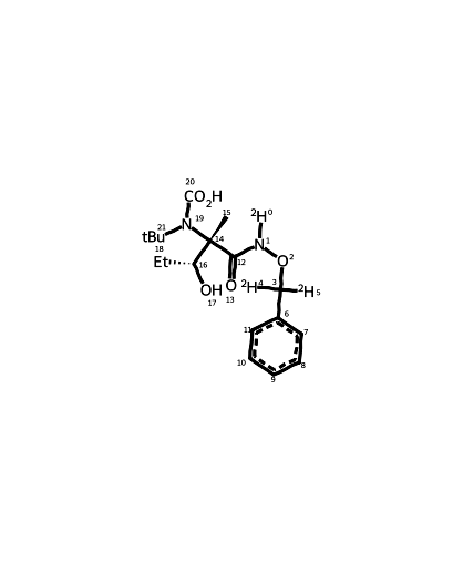 [2H]N(OC([2H])([2H])c1ccccc1)C(=O)[C@](C)([C@H](O)CC)N(C(=O)O)C(C)(C)C